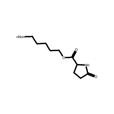 CCCCCCCCCCCCCCOC(=O)C1CCC(=O)N1